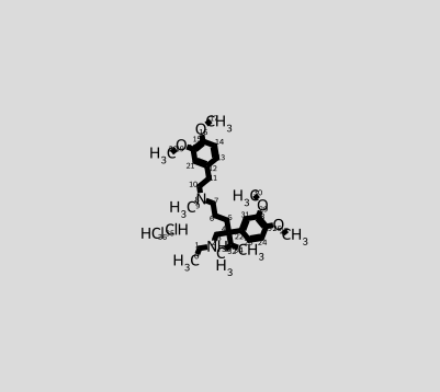 CCNCC(CCCN(C)CCc1ccc(OC)c(OC)c1)(c1ccc(OC)c(OC)c1)C(C)C.Cl.Cl